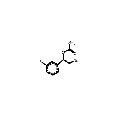 NC(=O)OC(CO)c1cccc(F)c1